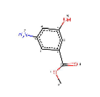 COC(=O)c1cc(N)cc(O)c1